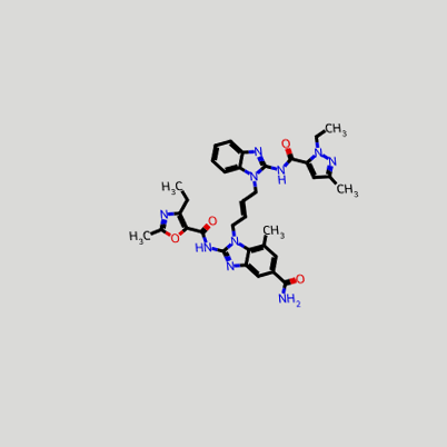 CCc1nc(C)oc1C(=O)Nc1nc2cc(C(N)=O)cc(C)c2n1CC=CCn1c(NC(=O)c2cc(C)nn2CC)nc2ccccc21